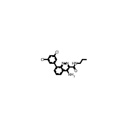 CCCNC(=O)c1nnc2c(-c3cc(Cl)cc(Cl)c3)cccc2c1N